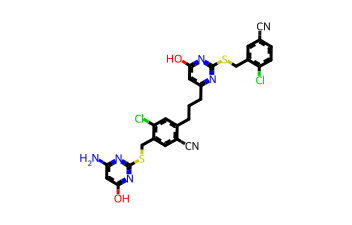 N#Cc1ccc(Cl)c(CSc2nc(O)cc(CCCc3cc(Cl)c(CSc4nc(N)cc(O)n4)cc3C#N)n2)c1